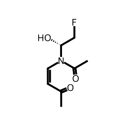 CC(=O)/C=C\N(C(C)=O)[C@H](O)CF